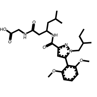 CCC(C)Cn1nc(C(=O)NC(CC(=O)NCC(=O)O)CC(C)C)cc1-c1c(OC)cccc1OC